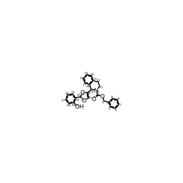 O=C(OCc1ccccc1)N1CCc2ccccc2C1C1=COC(c2ccccc2O)O1